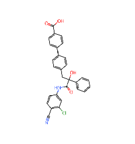 N#Cc1ccc(NC(=O)C(O)(Cc2ccc(-c3ccc(C(=O)O)cc3)cc2)c2ccccc2)cc1Cl